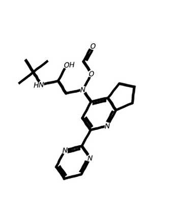 CC(C)(C)NC(O)CN(OC=O)c1cc(-c2ncccn2)nc2c1CCC2